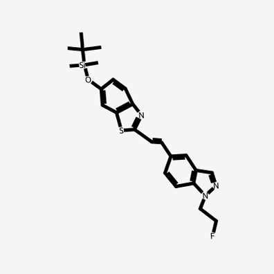 CC(C)(C)[Si](C)(C)Oc1ccc2nc(/C=C/c3ccc4c(cnn4CCF)c3)sc2c1